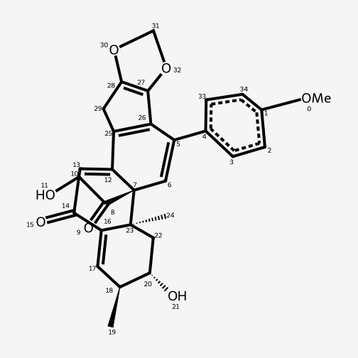 COc1ccc(C2=C[C@@]3(C(=O)CO)C(=CC(=O)C4=C[C@H](C)[C@@H](O)C[C@@]43C)C3=C2C2=C(C3)OCO2)cc1